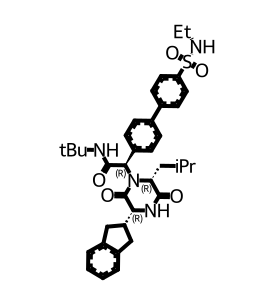 CCNS(=O)(=O)c1ccc(-c2ccc([C@H](C(=O)NC(C)(C)C)N3C(=O)[C@@H](C4Cc5ccccc5C4)NC(=O)[C@H]3CC(C)C)cc2)cc1